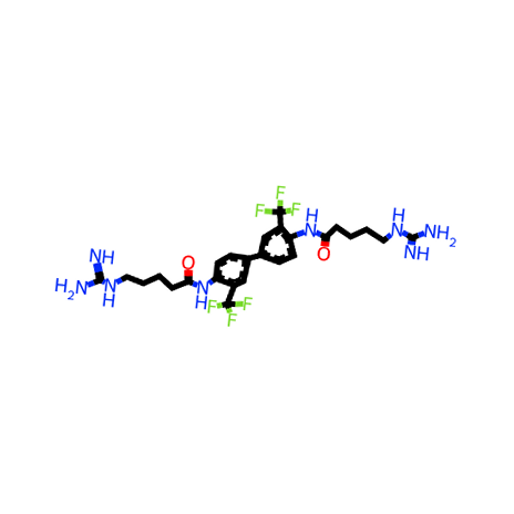 N=C(N)NCCCCC(=O)Nc1ccc(-c2ccc(NC(=O)CCCCNC(=N)N)c(C(F)(F)F)c2)cc1C(F)(F)F